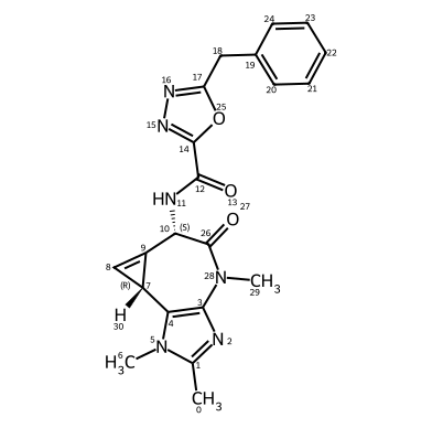 Cc1nc2c(n1C)[C@@H]1C=C1[C@H](NC(=O)c1nnc(Cc3ccccc3)o1)C(=O)N2C